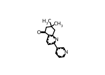 CC1(C)CC(=O)c2ccc(-c3cccnc3)nc2C1